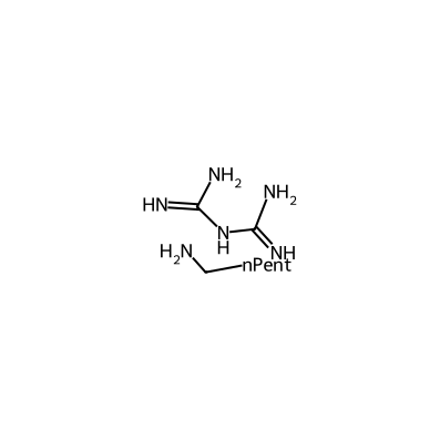 CCCCCCN.N=C(N)NC(=N)N